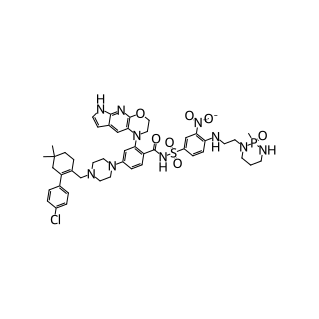 CC1(C)CCC(CN2CCN(c3ccc(C(=O)NS(=O)(=O)c4ccc(NCCN5CCCNP5(C)=O)c([N+](=O)[O-])c4)c(N4CCOc5nc6[nH]ccc6cc54)c3)CC2)=C(c2ccc(Cl)cc2)C1